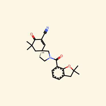 CC1(C)Cc2cccc(C(=O)N3CC[C@]4(C=C(C#N)C(=O)C(C)(C)C4)C3)c2O1